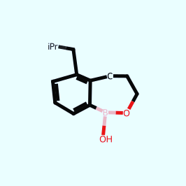 CC(C)Cc1cccc2c1CCCOB2O